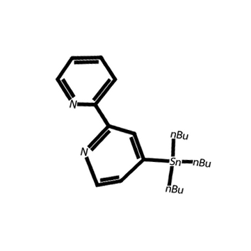 CCC[CH2][Sn]([CH2]CCC)([CH2]CCC)[c]1ccnc(-c2ccccn2)c1